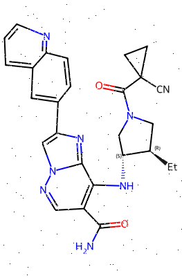 CC[C@@H]1CN(C(=O)C2(C#N)CC2)C[C@H]1Nc1c(C(N)=O)cnn2cc(-c3ccc4ncccc4c3)nc12